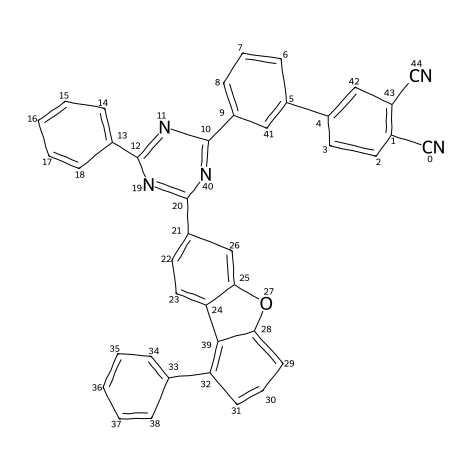 N#Cc1ccc(-c2cccc(-c3nc(-c4ccccc4)nc(-c4ccc5c(c4)oc4cccc(-c6ccccc6)c45)n3)c2)cc1C#N